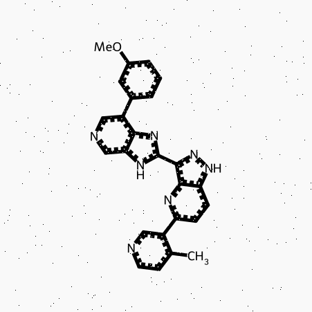 COc1cccc(-c2cncc3[nH]c(-c4n[nH]c5ccc(-c6cnccc6C)nc45)nc23)c1